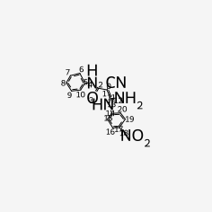 N#C/C(C(=O)Nc1ccccc1)=C(\N)Nc1ccc([N+](=O)[O-])cc1